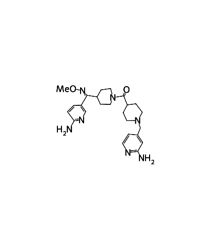 CO/N=C(\c1ccc(N)nc1)C1CCN(C(=O)C2CCN(Cc3ccnc(N)c3)CC2)CC1